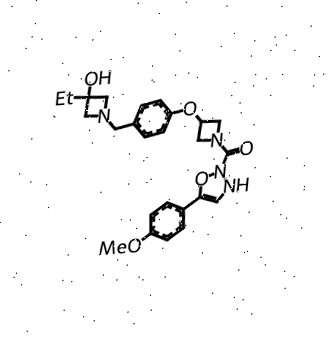 CCC1(O)CN(Cc2ccc(OC3CN(C(=O)N4NC=C(c5ccc(OC)cc5)O4)C3)cc2)C1